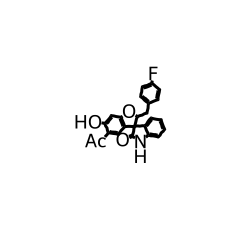 CC(=O)c1cc2c(cc1O)OC(Cc1ccc(F)cc1)C21C(=O)Nc2ccccc21